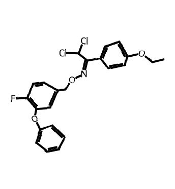 CCOc1ccc(C(=NOCc2ccc(F)c(Oc3ccccc3)c2)C(Cl)Cl)cc1